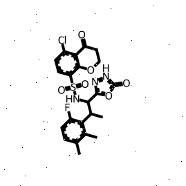 Cc1ccc(F)c(C(C)C(NS(=O)(=O)c2ccc(Cl)c3c2OCCC3=O)c2n[nH]c(=O)o2)c1C